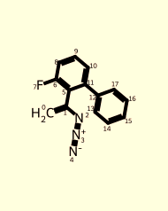 C=C(N=[N+]=[N-])c1c(F)cccc1-c1ccccc1